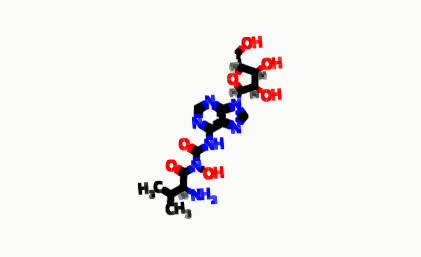 CC(C)[C@H](N)C(=O)N(O)C(=O)Nc1ncnc2c1ncn2[C@@H]1O[C@H](CO)[C@@H](O)[C@H]1O